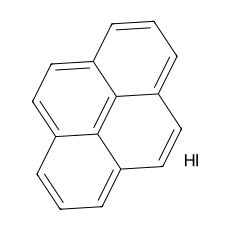 I.c1cc2ccc3cccc4ccc(c1)c2c34